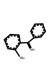 CC(C)(C)c1ccccc1C(=N)c1ccccc1